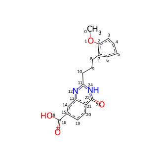 COc1ccccc1CCCc1nc2cc(C(=O)O)ccc2c(=O)[nH]1